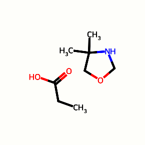 CC1(C)COCN1.CCC(=O)O